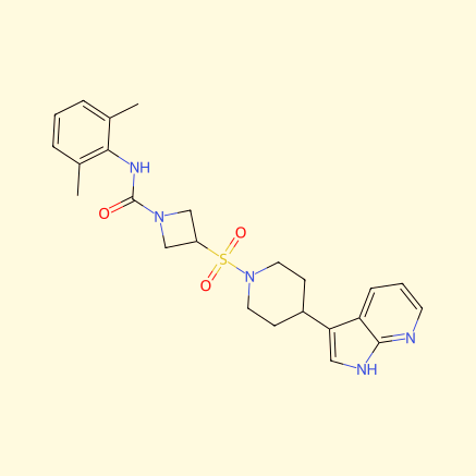 Cc1cccc(C)c1NC(=O)N1CC(S(=O)(=O)N2CCC(c3c[nH]c4ncccc34)CC2)C1